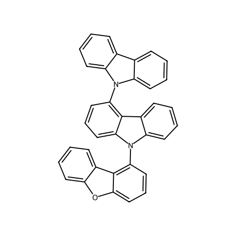 c1ccc2c(c1)oc1cccc(-n3c4ccccc4c4c(-n5c6ccccc6c6ccccc65)cccc43)c12